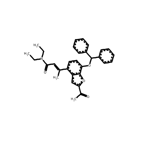 CCN(CC)C(=O)/C=C(\C)c1ccc(OC(c2ccccc2)c2ccccc2)c2oc(C(C)=O)cc12